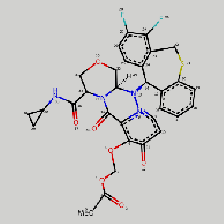 COC(=O)OCOc1c2n(ccc1=O)N([C@@H]1c3ccccc3SCc3c1ccc(F)c3F)[C@@H]1COCC(C(=O)NC3CC3)N1C2=O